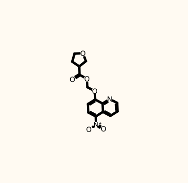 O=C(OCOc1ccc([N+](=O)[O-])c2cccnc12)C1CCOC1